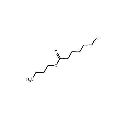 CCCCOC(=O)CCCCCS